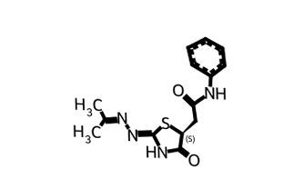 CC(C)=NN=C1NC(=O)[C@H](CC(=O)Nc2ccccc2)S1